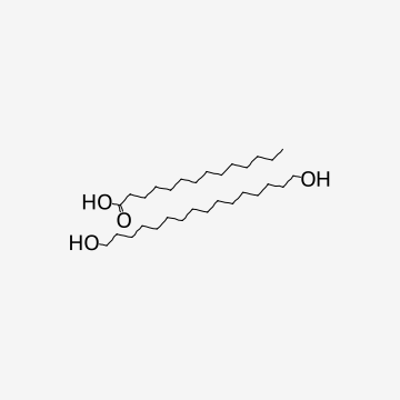 CCCCCCCCCCCCCC(=O)O.OCCCCCCCCCCCCCCCCO